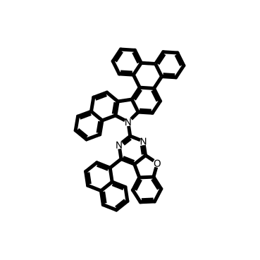 c1ccc2c(-c3nc(-n4c5ccc6c7ccccc7c7ccccc7c6c5c5ccc6ccccc6c54)nc4oc5ccccc5c34)cccc2c1